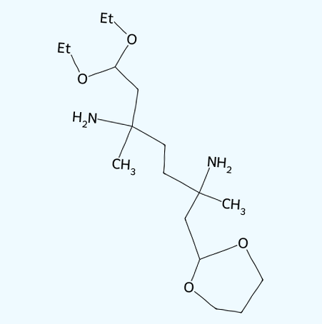 CCOC(CC(C)(N)CCC(C)(N)CC1OCCCO1)OCC